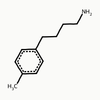 Cc1ccc(CCCCN)cc1